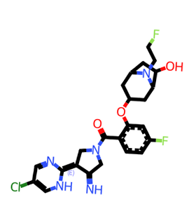 N=C1CN(C(=O)c2ccc(F)cc2OC2CC3CC(O)C(C2)N3CCF)C/C1=C1\N=CC(Cl)=CN1